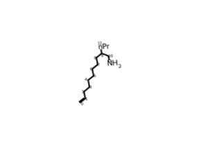 C=CCCCCCCCC(CN)CCC